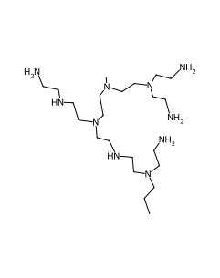 CCCN(CCN)CCNCCN(CCNCCN)CCN(C)CCN(CCN)CCN